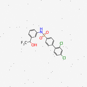 O=S(=O)(Nc1cccc(C(O)C(F)(F)F)c1)c1ccc(-c2ccc(Cl)cc2Cl)cc1